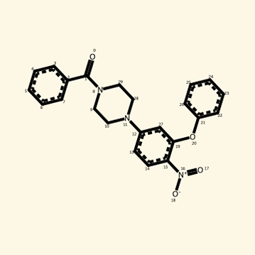 O=C(c1ccccc1)N1CCN(c2ccc([N+](=O)[O-])c(Oc3ccccc3)c2)CC1